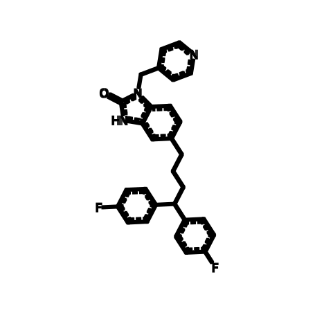 O=c1[nH]c2cc(CCCC(c3ccc(F)cc3)c3ccc(F)cc3)ccc2n1Cc1ccncc1